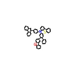 c1ccc(-c2ccc(N(c3ccc(-c4cc5ccccc5c5ccccc45)cc3)c3cccc4c3sc3ccccc34)cc2-c2ccc3oc4ccccc4c3c2)cc1